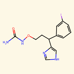 NC(=O)NOCCC(c1cccc(I)c1)c1c[nH]cn1